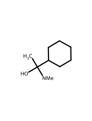 CNC(C)(O)C1CCCCC1